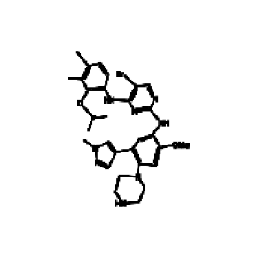 COc1cc(N2CCNCC2)c(-c2cnn(C)c2)cc1Nc1ncc(Br)c(Nc2ccc(C)c(C)c2OP(C)C)n1